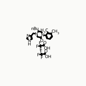 CCCC[C@H]1CN(c2cccc(C)c2C)C(=O)CN1Cc1c[nH]cn1.O=C(O)C(F)(F)F.O=C(O)C(F)(F)F